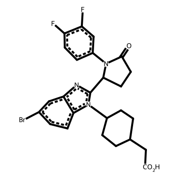 O=C(O)CC1CCC(n2c(C3CCC(=O)N3c3ccc(F)c(F)c3)nc3cc(Br)ccc32)CC1